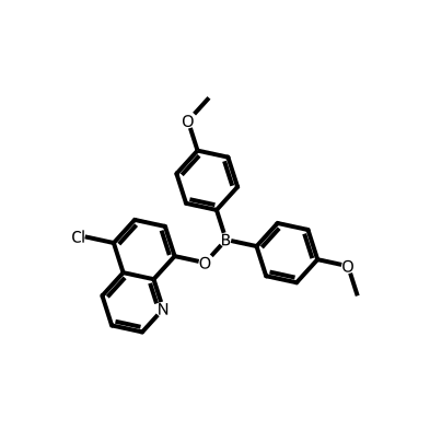 COc1ccc(B(Oc2ccc(Cl)c3cccnc23)c2ccc(OC)cc2)cc1